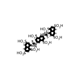 O=S(=O)(O)c1cc(NC(=S)Nc2cc(S(=O)(=O)O)c3cc(NC(=S)Nc4cc(S(=O)(=O)O)cc5cc(S(=O)(=O)O)cc(S(=O)(=O)O)c45)cc(S(=O)(=O)O)c3c2)c2c(S(=O)(=O)O)cc(S(=O)(=O)O)cc2c1